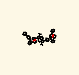 CC(C)c1cc(-c2ccc(N(c3ccc(-c4ccccc4)cc3)c3ccccc3-c3ccccc3)cc2)c2ccc3c(C(C)C)cc(-c4ccc(N(c5ccc(-c6ccccc6)cc5)c5ccccc5-c5ccccc5)cc4)c4ccc1c2c43